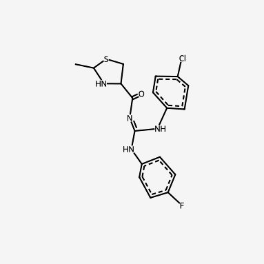 CC1NC(C(=O)/N=C(/Nc2ccc(F)cc2)Nc2ccc(Cl)cc2)CS1